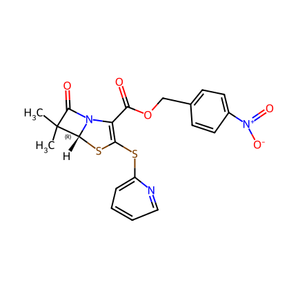 CC1(C)C(=O)N2C(C(=O)OCc3ccc([N+](=O)[O-])cc3)=C(Sc3ccccn3)S[C@@H]21